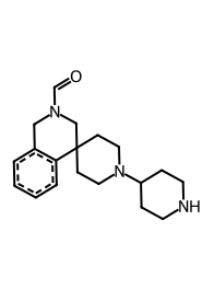 O=CN1Cc2ccccc2C2(CCN(C3CCNCC3)CC2)C1